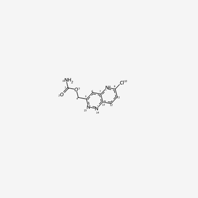 NC(=O)OCc1cc2nc(Cl)ccc2nn1